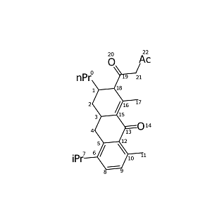 CCCC1CC2Cc3c(C(C)C)ccc(C)c3C(=O)C2=C(C)C1C(=O)CC(C)=O